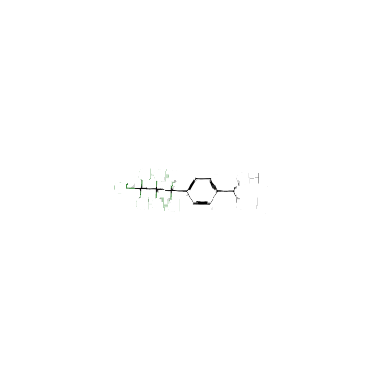 C[C](C)c1ccc(C(Cl)(Cl)C(Cl)(Cl)C(Cl)(Cl)Cl)cc1